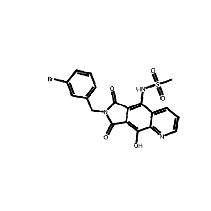 CS(=O)(=O)Nc1c2c(c(O)c3ncccc13)C(=O)N(Cc1cccc(Br)c1)C2=O